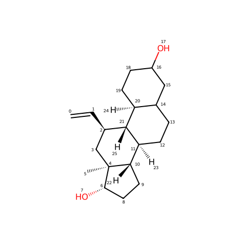 C=C[C@@H]1C[C@]2(C)[C@@H](O)CC[C@H]2[C@@H]2CCC3CC(O)CC[C@@H]3[C@H]21